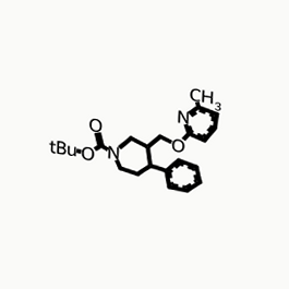 Cc1cccc(OCC2CN(C(=O)OC(C)(C)C)CCC2c2ccccc2)n1